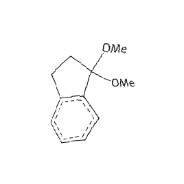 COC1(OC)CCc2ccccc21